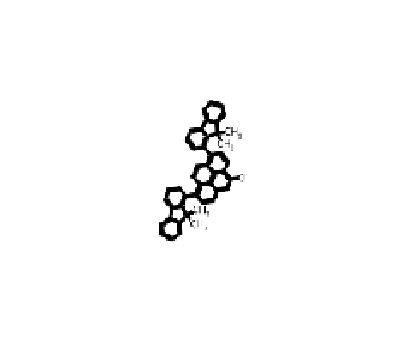 CC1(C)c2ccccc2-c2cccc(-c3ccc4cc(Cl)c5ccc(-c6cccc7c6C(C)(C)c6ccccc6-7)c6ccc3c4c56)c21